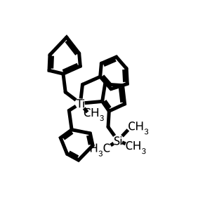 C[Si](C)(C)CC1=[C]([Ti]([CH3])([CH2]c2ccccc2)([CH2]c2ccccc2)[CH2]c2ccccc2)CC=C1